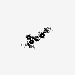 CN(c1ccnc(Nc2cccc(CCS(C)(=O)=O)c2)n1)c1ccc2c(nc(N)n2C)c1C1CCCCC1